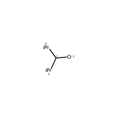 CC(C)C([O])C(C)C